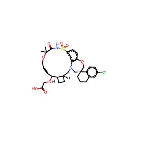 CC1(C)OCC=C[C@H](OCC(=O)O)[C@@H]2CC[C@H]2CN2C[C@@]3(CCCc4cc(Cl)ccc43)COc3ccc(cc32)S(=O)(=O)NC1=O